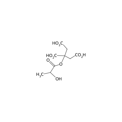 CC(O)C(=O)OC(CC(=O)O)(CC(=O)O)C(=O)O